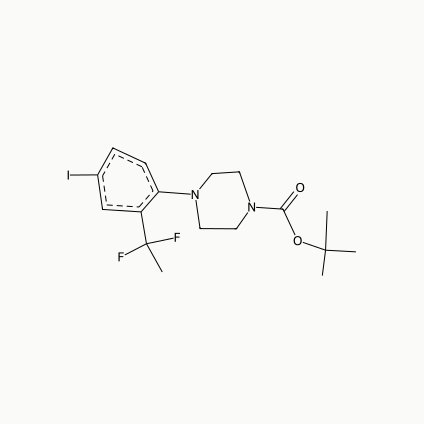 CC(C)(C)OC(=O)N1CCN(c2ccc(I)cc2C(C)(F)F)CC1